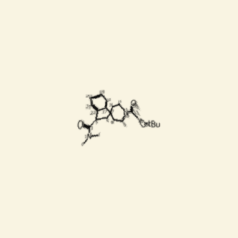 CN(C)C(=O)[C@@H]1CC2(CCN(C(=O)OC(C)(C)C)CC2)c2ccccc21